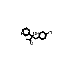 CC(=O)C(O)(Cc1ccc(Cl)cc1)c1cccnc1